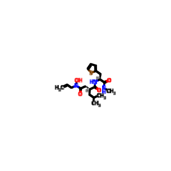 C=CCN(O)C(=O)C[C@@H](CC(C)C)C(=O)N[C@@H](Cc1cccs1)C(=O)NC